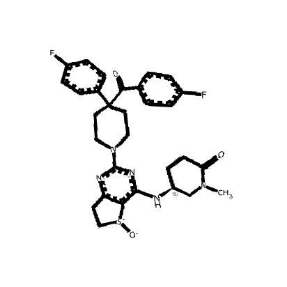 CN1C[C@@H](Nc2nc(N3CCC(C(=O)c4ccc(F)cc4)(c4ccc(F)cc4)CC3)nc3c2[S+]([O-])CC3)CCC1=O